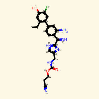 CCc1cc(O)c(F)cc1-c1ccc(C(=N)c2nc(CNC(=O)OCCC#N)c[nH]2)c(N)c1